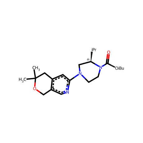 CC(C)COC(=O)N1CCN(c2cc3c(cn2)COC(C)(C)C3)C[C@H]1C(C)C